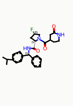 CC(C)c1ccc([C@@H](NC(=O)[C@@H]2C[C@@H](F)CN2C(=O)C2CCNC(=O)C2)c2ccccc2)cc1